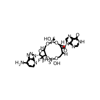 Nc1ccnc2c1nnn2[C@@H]1O[C@@H]2COP(O)(=S)O[C@@H]3[C@H](F)[C@@H](COP(O)(=S)O[C@H]2C1(F)F)O[C@H]3n1cnc2c(=O)[nH]cnc21